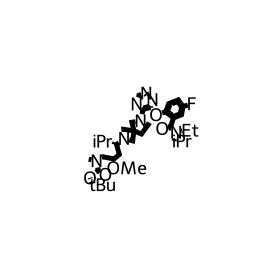 CCN(C(=O)c1cc(F)ccc1Oc1nncnc1N1CCC2(C1)CN([C@@H](C[C@H](CN(C)C(=O)OC(C)(C)C)OC)C(C)C)C2)C(C)C